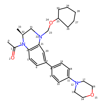 CC(=O)N1c2ccc(-c3ccc(N4CCOCC4)cc3)cc2N(COC2CCCCC2)C[C@@H]1C